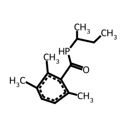 CCC(C)PC(=O)c1c(C)ccc(C)c1C